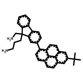 CC(C)(C)c1cc2ccc3ccc(-c4ccc5c(c4)C(CN)(CCCN)c4ccccc4-5)c4ccc(c1)c2c34